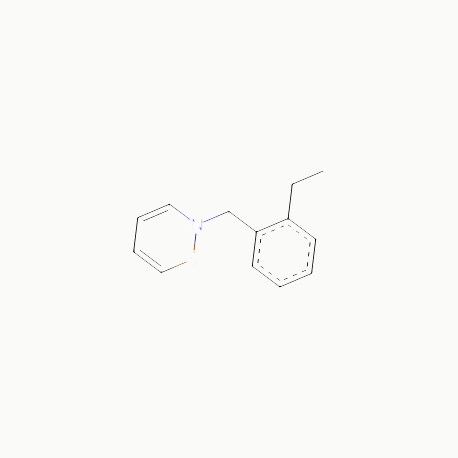 CCc1ccccc1CN1C=CC=CS1